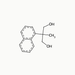 CC(CO)(CO)c1cccc2ccccc12